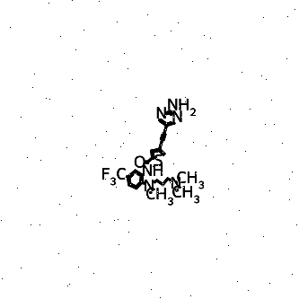 CN(C)CCCN(C)c1ccc(C(F)(F)F)cc1NC(=O)c1cc(C#Cc2cnc(N)nc2)cs1